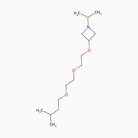 CC(C)CCOCCOCCOC1CN(C(C)C)C1